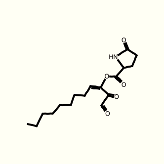 CCCCCCCCC=C(OC(=O)C1CCC(=O)N1)C(=O)C=O